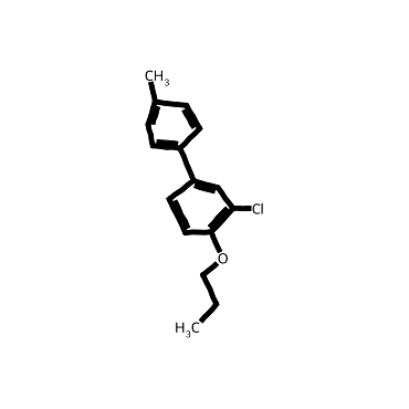 CCCOc1ccc(-c2ccc(C)cc2)cc1Cl